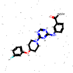 CNC(=O)c1cccc(Nc2ncnc(N3CCC(Oc4cccc(F)c4)CC3)n2)c1